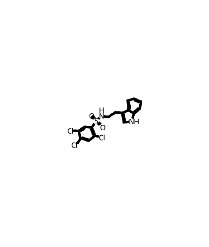 O=S(=O)(NCCc1c[nH]c2ccccc12)c1cc(Cl)c(Cl)cc1Cl